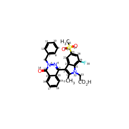 Cc1c(-c2nn(Cc3ccccc3)c(=O)c3ccccc23)c2cc(S(C)(=O)=O)cc(F)c2n1CC(=O)O